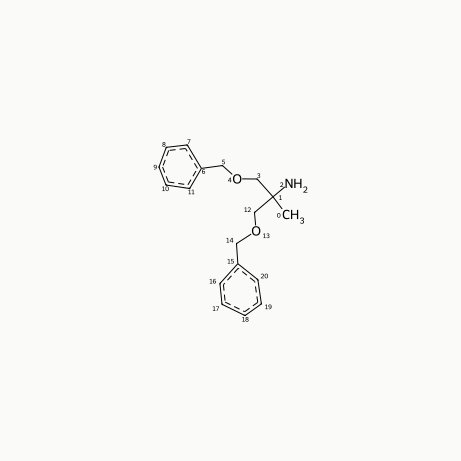 CC(N)(COCc1ccccc1)COCc1ccccc1